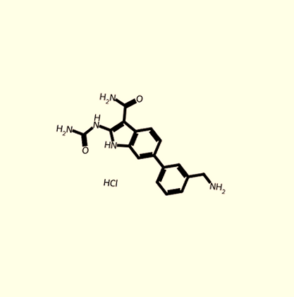 Cl.NCc1cccc(-c2ccc3c(C(N)=O)c(NC(N)=O)[nH]c3c2)c1